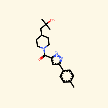 Cc1ccc(-c2cc(C(=O)N3CCC(CC(C)(C)O)CC3)[nH]n2)cc1